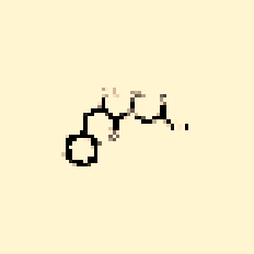 CC(Cc1ccccc1)C(=O)N(S)CC(=O)O